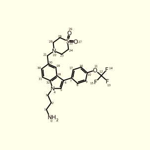 NCCCn1cc(-c2ccc(OC(F)(F)F)cc2)c2cc(CN3CCS(=O)(=O)CC3)ccc21